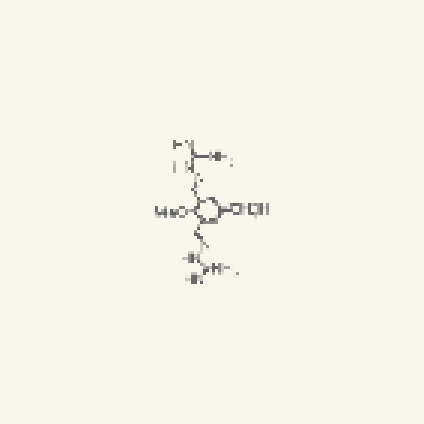 COc1c(C=NNC(=N)N)cc(C)cc1C=NNC(=N)N.Cl.Cl